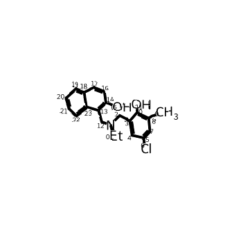 CCN(Cc1cc(Cl)cc(C)c1O)Cc1c(O)ccc2ccccc12